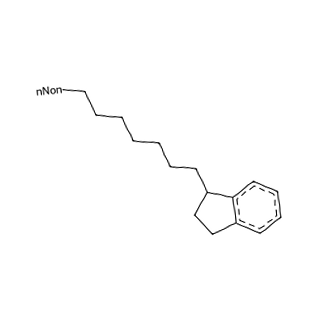 CCCCCCCCCCCCCCCCC1CCc2ccccc21